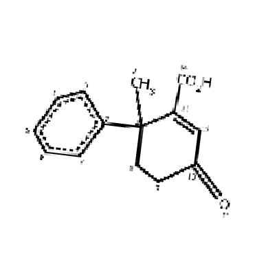 CC1(c2ccccc2)CCC(=O)C=C1C(=O)O